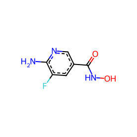 Nc1ncc(C(=O)NO)cc1F